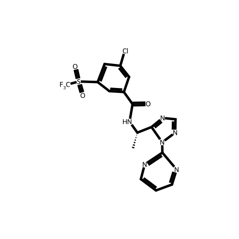 C[C@H](NC(=O)c1cc(Cl)cc(S(=O)(=O)C(F)(F)F)c1)c1ncnn1-c1ncccn1